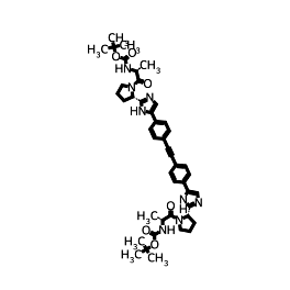 C[C@@H](NC(=O)OC(C)(C)C)C(=O)N1CCC[C@H]1c1ncc(-c2ccc(C#Cc3ccc(-c4cnc([C@@H]5CCCN5C(=O)[C@@H](C)NC(=O)OC(C)(C)C)[nH]4)cc3)cc2)[nH]1